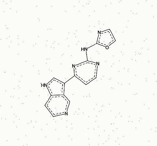 c1cc2[nH]cc(-c3ccnc(Nc4ncco4)n3)c2cn1